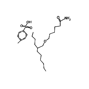 CCCCCCC(CCCC)COCCCCCC(N)=O.Cc1ccc(S(=O)(=O)O)cc1